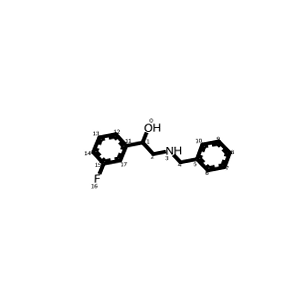 OC(CNCc1ccccc1)c1cccc(F)c1